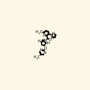 Cc1cnc(O[C@@H]2C[C@H]3C[C@@H]2N(C(=O)c2nc(C)ccc2-n2nccn2)C3)nc1